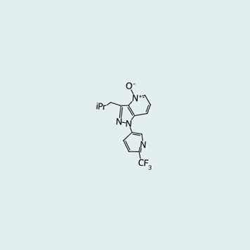 CC(C)Cc1nn(-c2ccc(C(F)(F)F)nc2)c2ccc[n+]([O-])c12